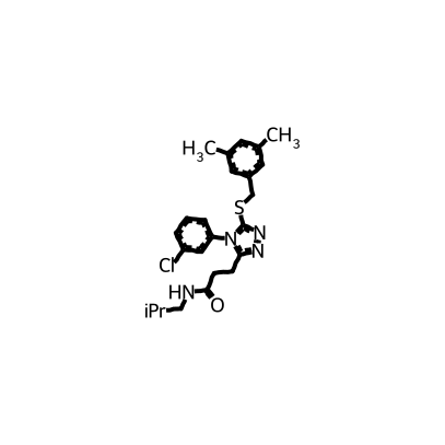 Cc1cc(C)cc(CSc2nnc(CCC(=O)NCC(C)C)n2-c2cccc(Cl)c2)c1